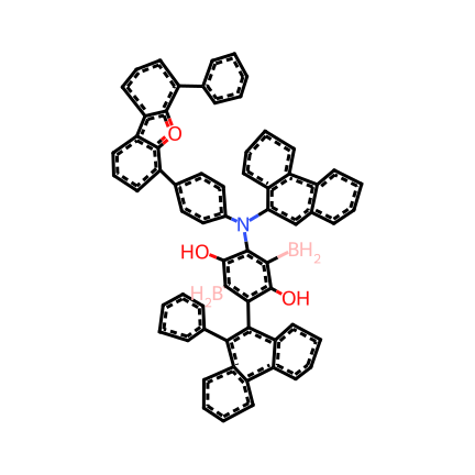 Bc1c(O)c(N(c2ccc(-c3cccc4c3oc3c(-c5ccccc5)cccc34)cc2)c2cc3ccccc3c3ccccc23)c(B)c(O)c1-c1c(-c2ccccc2)c2ccccc2c2ccccc12